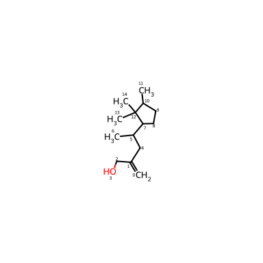 C=C(CO)CC(C)C1CCC(C)C1(C)C